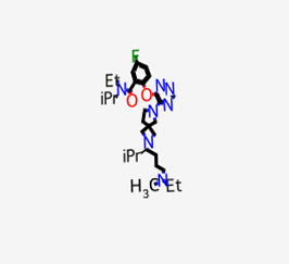 CCN(C)CCC[C@@H](C(C)C)N1CC2(CCN(c3ncnnc3Oc3ccc(F)cc3C(=O)N(CC)C(C)C)C2)C1